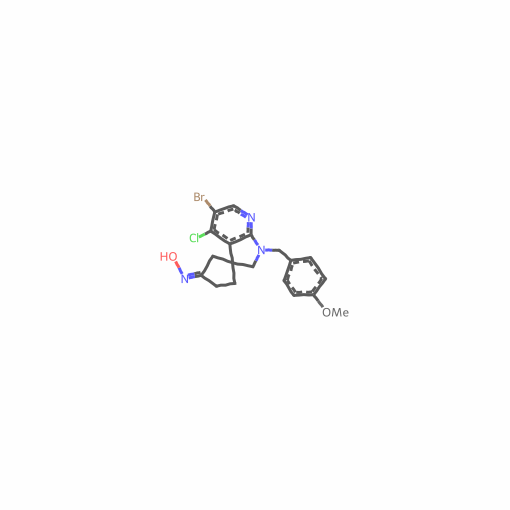 COc1ccc(CN2CC3(CCC(=NO)C3)c3c2ncc(Br)c3Cl)cc1